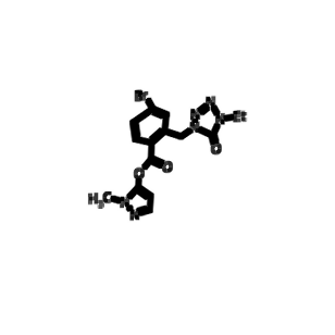 CCn1nnn(Cc2cc(Br)ccc2C(=O)Oc2ccnn2C)c1=O